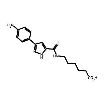 O=C(O)CCCCCNC(=O)c1cc(-c2ccc([N+](=O)[O-])cc2)n[nH]1